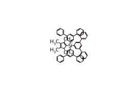 CC1=C(C)C(C)C([Si](c2cc(-c3ccccc3)cc(-c3ccccc3)c2)(c2cc(-c3ccccc3)cc(-c3ccccc3)c2)c2cc(-c3ccccc3)cc(-c3ccccc3)c2)=C1C